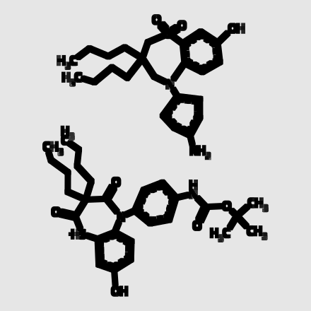 CCCCC1(CCCC)C(=O)[SH]c2cc(O)ccc2N(c2ccc(NC(=O)OC(C)(C)C)cc2)C1=O.CCCCC1(CCCC)CN(c2ccc(N)cc2)c2ccc(O)cc2S(=O)(=O)C1